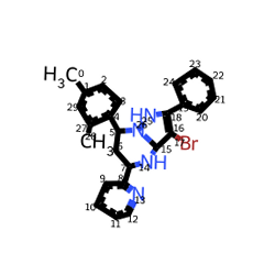 Cc1ccc(C2CC(c3ccccn3)NC3C(Br)=C(c4ccccc4)NN32)c(C)c1